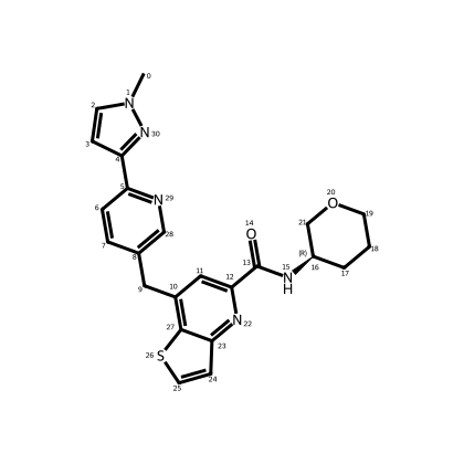 Cn1ccc(-c2ccc(Cc3cc(C(=O)N[C@@H]4CCCOC4)nc4ccsc34)cn2)n1